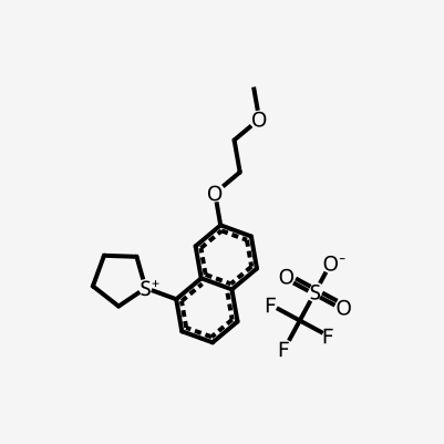 COCCOc1ccc2cccc([S+]3CCCC3)c2c1.O=S(=O)([O-])C(F)(F)F